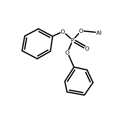 O=P([O][Al])(Oc1ccccc1)Oc1ccccc1